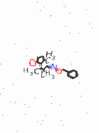 CC1CCC(=O)[C@@H]1C(C)[C@H](C)C/C=N/OCc1ccccc1